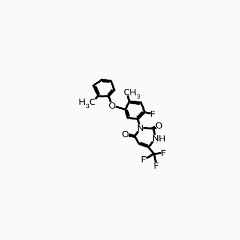 Cc1ccccc1Oc1cc(-n2c(=O)cc(C(F)(F)F)[nH]c2=O)c(F)cc1C